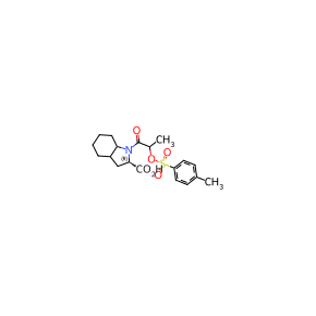 Cc1ccc(S(=O)(=O)OC(C)C(=O)N2C3CCCCC3C[C@@H]2C(=O)O)cc1